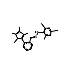 CC1=C(C)C(C)C(c2ccccc2/C=N/Nc2c(C)cc(C)cc2C)=C1C